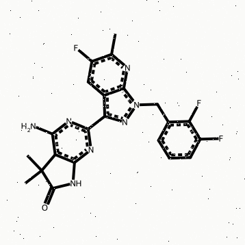 Cc1nc2c(cc1F)c(-c1nc(N)c3c(n1)NC(=O)C3(C)C)nn2Cc1cccc(F)c1F